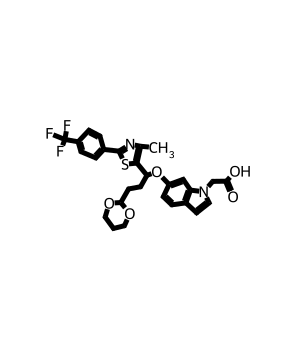 Cc1nc(-c2ccc(C(F)(F)F)cc2)sc1C(CCC1OCCCO1)Oc1ccc2ccn(CC(=O)O)c2c1